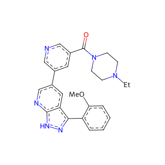 CCN1CCN(C(=O)c2cncc(-c3cnc4[nH]nc(-c5ccccc5OC)c4c3)c2)CC1